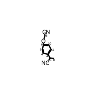 CC(C#N)c1ccc(OCC#N)cc1